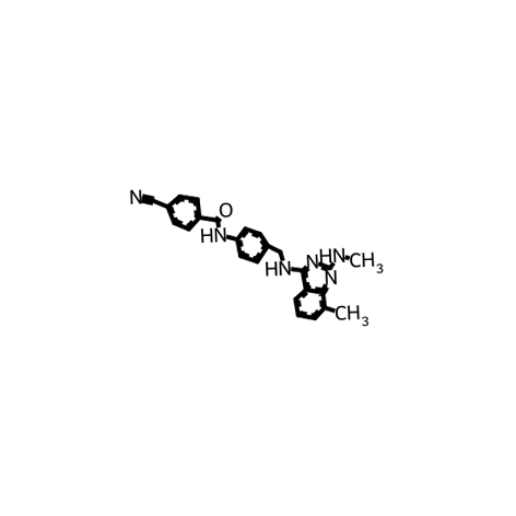 CNc1nc(NCc2ccc(NC(=O)c3ccc(C#N)cc3)cc2)c2cccc(C)c2n1